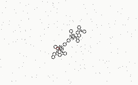 c1ccc(-c2nc(-c3ccc(-c4ccc(-c5nc(-c6ccccc6)nc(-n6c7ccccc7c7ccc8c9c%10ccccc%10ccc9n(-c9ccccc9)c8c76)n5)cc4)cc3)nc(-n3c4ccccc4c4ccc5c(ccc6c7ccccc7n(-c7ccccc7)c65)c43)n2)cc1